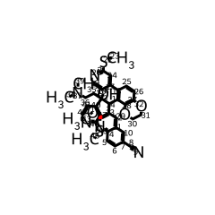 COc1nc2ccc(C#N)cc2cc1C(c1c(-c2ccnc(SC)c2)ccc2c1OCCO2)C(O)(CCN(C)C)c1ccnc(SC)c1